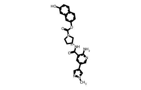 Cn1cc(-c2cnc(N)c(C(=O)N[C@@H]3CCN(C(=O)Oc4ccc5ccc(O)cc5c4)C3)c2)cn1